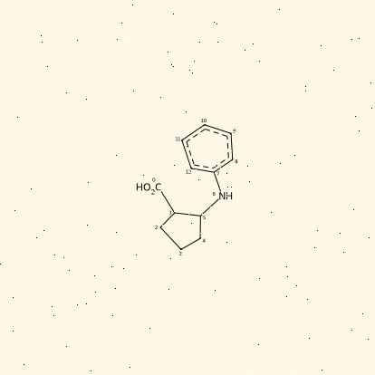 O=C(O)C1CCCC1Nc1ccccc1